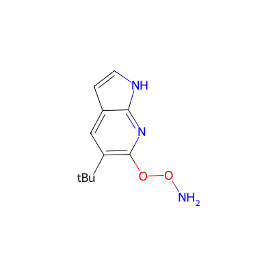 CC(C)(C)c1cc2cc[nH]c2nc1OON